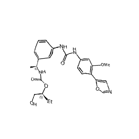 CC[C@@H](CO)OC(=O)N[C@@H](C)c1cccc(NC(=O)Nc2ccc(-c3cnco3)c(OC)c2)c1